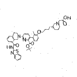 Cc1c(OCCCC[C@H]2CCCN(CC(=O)O)C2)cccc1-c1ccc(N2CCc3cccc(C(=O)Nc4nc5ccccc5s4)c3C2)nc1C(=O)OC(C)(C)C